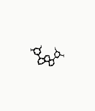 Ic1cc(I)cc(-c2cccc3c2ccc2c(-c4cc(I)cc(I)c4)cccc23)c1